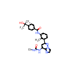 CCNC(=O)Nc1cc(-c2cccc(NC(=O)c3ccc(C(O)(C(F)(F)F)C(F)(F)F)cc3)c2C)nn2ccnc12